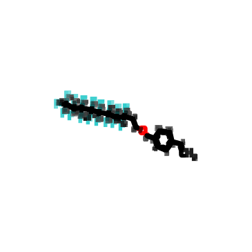 C=Cc1ccc(COCCC(F)(F)C(F)(F)C(F)(F)C(F)(F)C(F)(F)C(F)(F)C(F)(F)C(F)(F)F)cc1